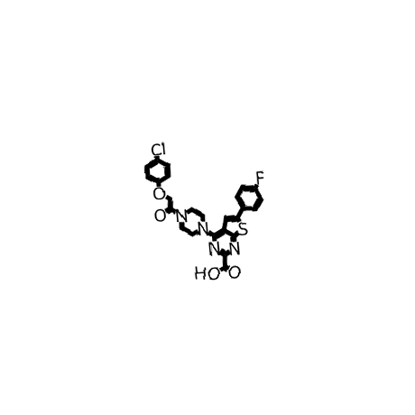 O=C(O)c1nc(N2CCN(C(=O)COc3ccc(Cl)cc3)CC2)c2cc(-c3ccc(F)cc3)sc2n1